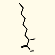 CCCCCCC[C@@H](F)C(=O)O